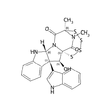 CN1C(=O)[C@]23SSSS[C@]1(C)C(=O)N2[C@H]1Nc2ccccc2[C@@]1(c1c[nH]c2ccccc12)[C@@H]3O